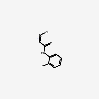 O=C(/C=N\O)Nc1ccccc1F